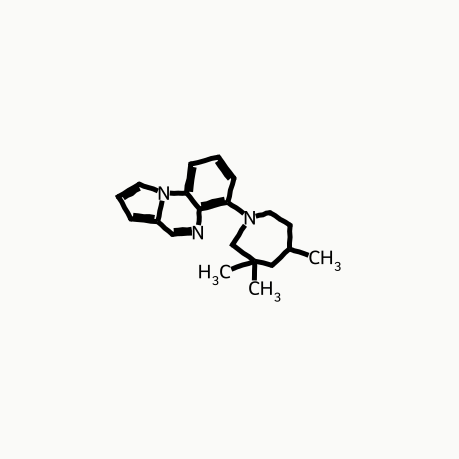 CC1CCN(c2cccc3c2ncc2cccn23)CC(C)(C)C1